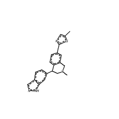 Cc1cnc(-c2ccc3c(c2)CN(C)CC3c2ccc3cn[nH]c3c2)s1